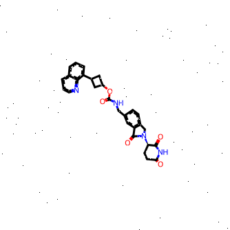 O=C1CC[C@@H](N2Cc3ccc(CNC(=O)OC4CC(c5cccc6cccnc56)C4)cc3C2=O)C(=O)N1